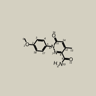 COc1ccc(-n2nc(C(N)=O)c(C)cc2=O)cc1